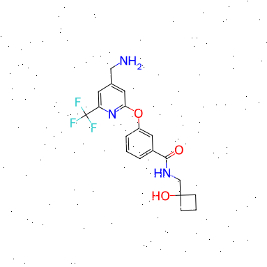 NCc1cc(Oc2cccc(C(=O)NCC3(O)CCC3)c2)nc(C(F)(F)F)c1